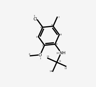 COc1cc(Cl)c(C)cc1NC(C)(C)C